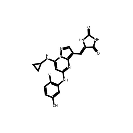 N#Cc1ccc(Cl)c(Nc2cc(NC3CC3)n3ncc(/C=C4\NC(=O)NC4=O)c3n2)c1